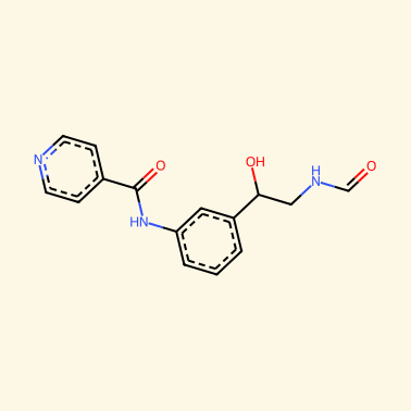 O=CNCC(O)c1cccc(NC(=O)c2ccncc2)c1